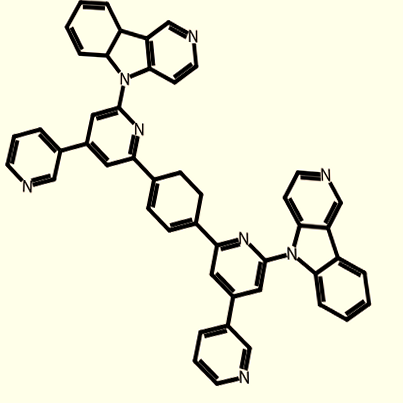 C1=CC2c3cnccc3N(c3cc(-c4cccnc4)cc(C4=CC=C(c5cc(-c6cccnc6)cc(-n6c7ccccc7c7cnccc76)n5)CC4)n3)C2C=C1